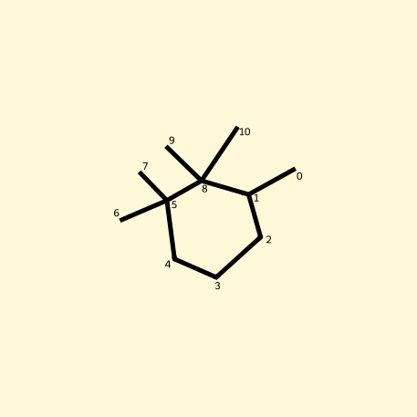 C[C]1CCCC(C)(C)C1(C)C